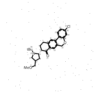 COCC1C[C@@H](C2CCc3cc4c(cc3C2=O)COc2cc(Cl)ccc2-4)N(C(C)(C)C)C1